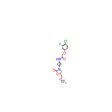 O=C(COc1ccc(Cl)c(F)c1)NC12CC(N3C[C@@H](COC(F)(F)F)OC3=O)(C1)C2